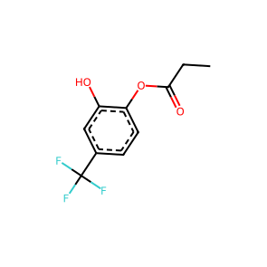 CCC(=O)Oc1ccc(C(F)(F)F)cc1O